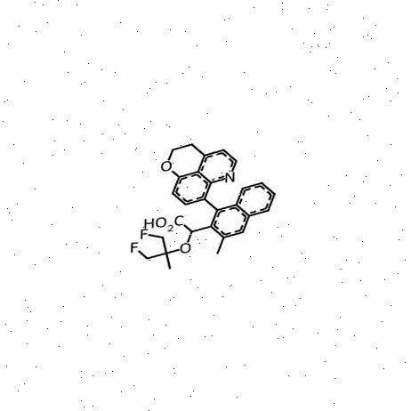 Cc1cc2ccccc2c(-c2ccc3c4c(ccnc24)CCO3)c1C(OC(C)(CF)CF)C(=O)O